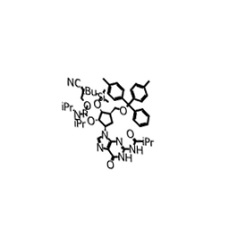 Cc1ccc(C(OC[C@H]2C[C@@H](n3cnc4c(=O)[nH]c(NC(=O)C(C)C)nc43)[C@H](OP(OCCC#N)N(C(C)C)C(C)C)[C@@H]2O[Si](C)(C)C(C)(C)C)(c2ccccc2)c2ccc(C)cc2)cc1